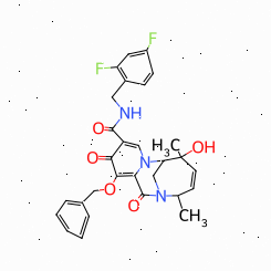 CC1C=CC(C)(O)C2CN1C(=O)c1c(OCc3ccccc3)c(=O)c(C(=O)NCc3ccc(F)cc3F)cn12